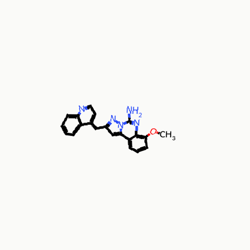 COc1cccc2c1nc(N)n1nc(Cc3ccnc4ccccc34)cc21